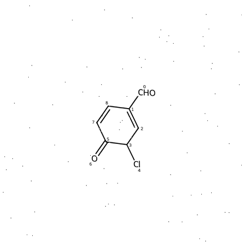 O=CC1=CC(Cl)C(=O)C=C1